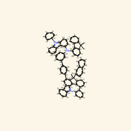 CC1(C)c2ccccc2-c2c(N(c3cccc(-c4ccc(-c5cc6c7ccccc7n7c6c6c5C(C)(c5ccc8ccccc8c5)c5cccc(c5-6)-c5ccccc5-7)cc4)c3)c3cccc4c3c3ccccc3n4-c3ccccc3)cccc21